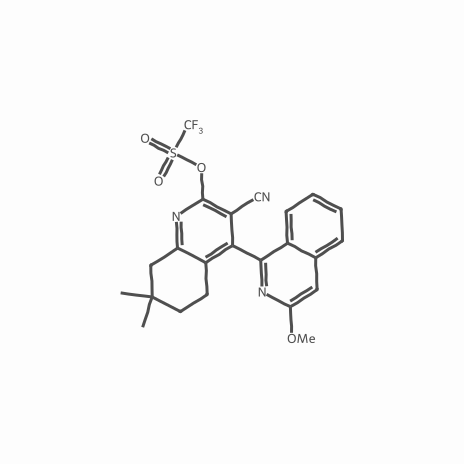 COc1cc2ccccc2c(-c2c(C#N)c(OS(=O)(=O)C(F)(F)F)nc3c2CCC(C)(C)C3)n1